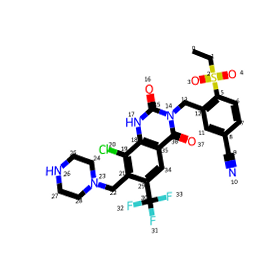 CCS(=O)(=O)c1ccc(C#N)cc1Cn1c(=O)[nH]c2c(Cl)c(CN3CCNCC3)c(C(F)(F)F)cc2c1=O